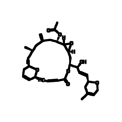 C=C1C[C@H](C)C[C@@H]2CC=C[C@@H](C/C=C\C(=O)O[C@H]([C@@H](O)/C=C/[C@@H]3CC(C)=CCO3)C[C@@H]3O[C@H]3[C@@H](OC(C)=O)C1)O2